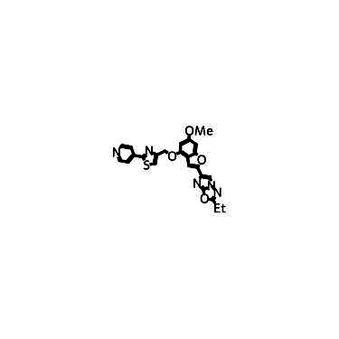 CCc1nn2cc(-c3cc4c(OCc5csc(-c6ccncc6)n5)cc(OC)cc4o3)nc2o1